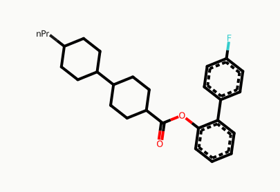 CCCC1CCC(C2CCC(C(=O)Oc3ccccc3-c3ccc(F)cc3)CC2)CC1